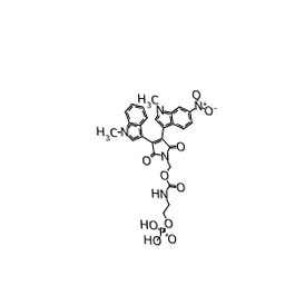 Cn1cc(C2=C(c3cn(C)c4cc([N+](=O)[O-])ccc34)C(=O)N(COC(=O)NCCOP(=O)(O)O)C2=O)c2ccccc21